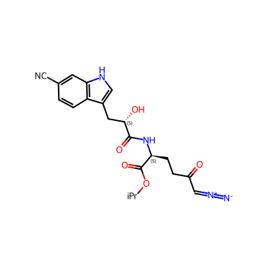 CC(C)OC(=O)[C@H](CCC(=O)C=[N+]=[N-])NC(=O)[C@@H](O)Cc1c[nH]c2cc(C#N)ccc12